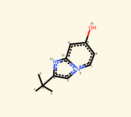 CC(C)(C)c1cn2ccc(O)cc2n1